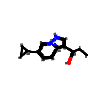 CCC(=O)c1cnn2cc(C3CC3)ccc12